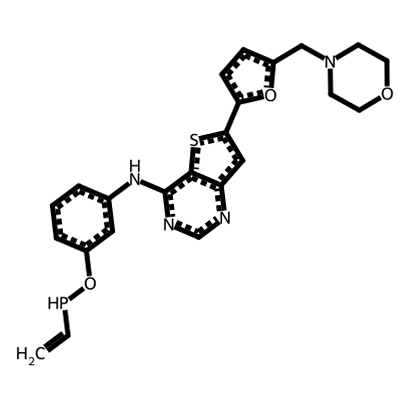 C=CPOc1cccc(Nc2ncnc3cc(-c4ccc(CN5CCOCC5)o4)sc23)c1